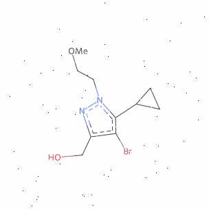 COCCn1nc(CO)c(Br)c1C1CC1